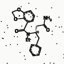 CCN(C(=O)c1cccc2c1OCO2)[C@H](CC(N)=O)Cc1ccccc1